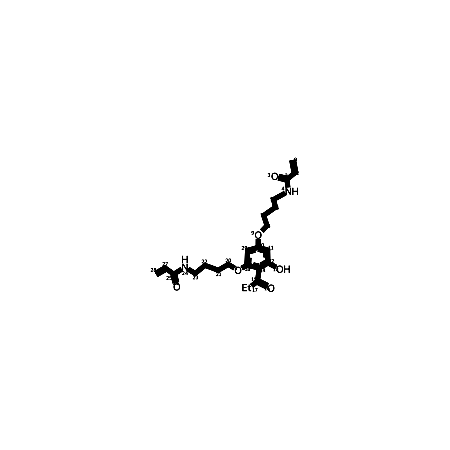 C=CC(=O)NCCCCOc1cc(O)c(C(=O)CC)c(OCCCCNC(=O)C=C)c1